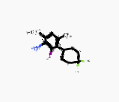 Nc1c(C(=O)O)cc(C(F)(F)F)c(C2CCC(F)(F)CC2)c1I